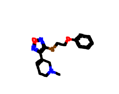 CN1CCC=C(c2nonc2SCCOc2ccccc2)C1